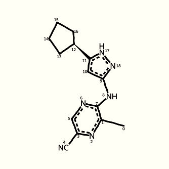 Cc1nc(C#N)cnc1Nc1cc([C@H]2C[CH]CC2)[nH]n1